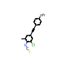 CCCc1ccc(C#Cc2cc(C)c(N=C=S)c(Cl)c2)cc1